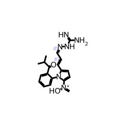 C=[N+](O)c1ccc(/C=C/C=N\NC(=N)N)n1-c1ccccc1C(=O)C(C)C